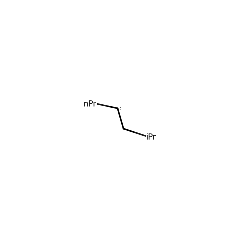 C[C]C[C]CC(C)C